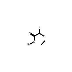 CC.O=C(OBr)C(F)F